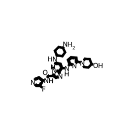 NC1CCC(Nc2cc(Nc3cccc(N4CCC(O)CC4)n3)c3ncc(C(=O)Nc4ccncc4F)n3n2)CC1